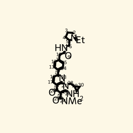 CCN1CCCC1CNC(=O)Cc1ccc(-c2ccc3c(=O)c(C(=O)NC)c(N)n(CC4CC4)c3n2)cc1